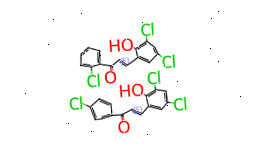 O=C(/C=C/c1cc(Cl)cc(Cl)c1O)c1ccc(Cl)cc1.O=C(/C=C/c1cc(Cl)cc(Cl)c1O)c1ccccc1Cl